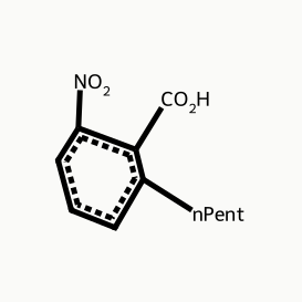 CCCCCc1cccc([N+](=O)[O-])c1C(=O)O